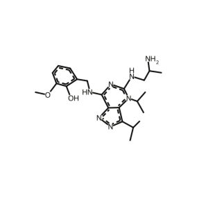 COc1cccc(CNc2nc(NCC(C)N)n(C(C)C)c3c(C(C)C)nnc2-3)c1O